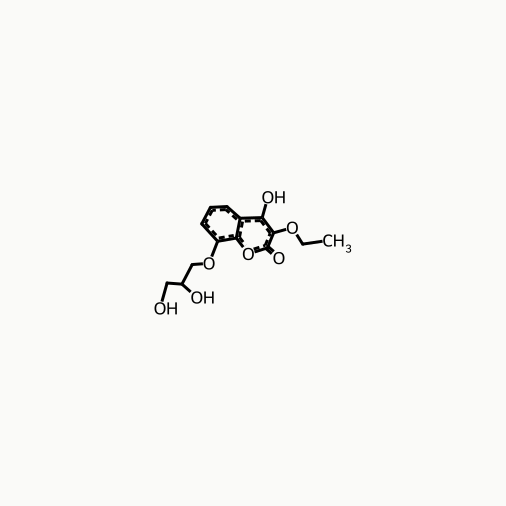 CCOc1c(O)c2cccc(OCC(O)CO)c2oc1=O